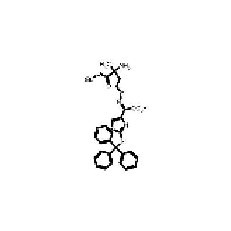 CC(C)(C)OC(=O)C(C)(N)CCO/N=C(\C(=O)O)c1csc(NC(c2ccccc2)(c2ccccc2)c2ccccc2)n1